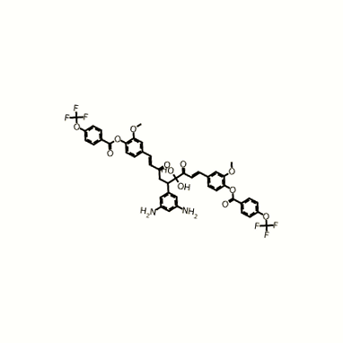 COc1cc(/C=C/C(=O)CC(c2cc(N)cc(N)c2)C(O)(O)C(=O)/C=C/c2ccc(OC(=O)c3ccc(OC(F)(F)F)cc3)c(OC)c2)ccc1OC(=O)c1ccc(OC(F)(F)F)cc1